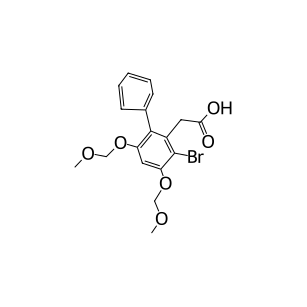 COCOc1cc(OCOC)c(-c2ccccc2)c(CC(=O)O)c1Br